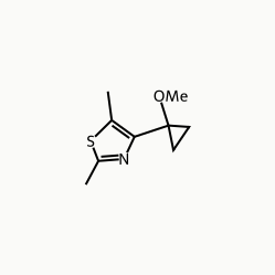 COC1(c2nc(C)sc2C)CC1